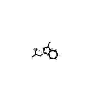 Cc1cn(CC(C)N)c2ccccc12